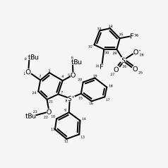 CC(C)(C)Oc1cc(OC(C)(C)C)c([S+](c2ccccc2)c2ccccc2)c(OC(C)(C)C)c1.O=S(=O)([O-])c1c(F)cccc1F